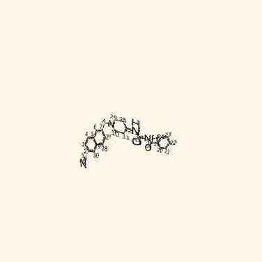 N#Cc1ccc2cc(CN3CCC(NC(=O)NC(=O)c4ccccc4)CC3)ccc2c1